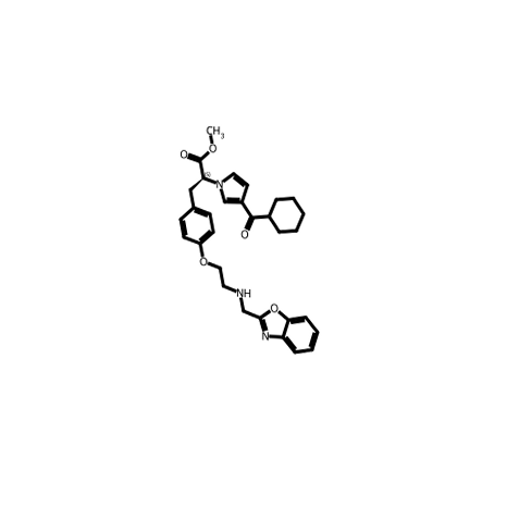 COC(=O)[C@H](Cc1ccc(OCCNCc2nc3ccccc3o2)cc1)n1ccc(C(=O)C2CCCCC2)c1